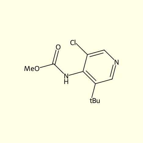 COC(=O)Nc1c(Cl)cncc1C(C)(C)C